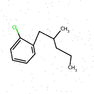 CCCC(C)Cc1ccccc1Cl